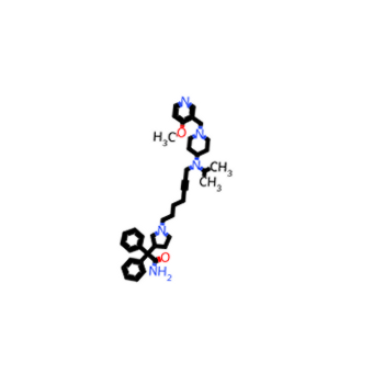 COc1ccncc1CN1CCC(N(CC#CCCCCN2CCC(C(C(N)=O)(c3ccccc3)c3ccccc3)C2)C(C)C)CC1